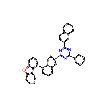 c1ccc(-c2nc(-c3ccc4ccccc4c3)nc(-c3ccc4c(-c5cccc6oc7ccccc7c56)cccc4c3)n2)cc1